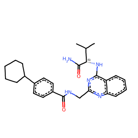 CC(C)[C@H](Nc1nc(CNC(=O)c2ccc(C3CCCCC3)cc2)nc2ccccc12)C(N)=O